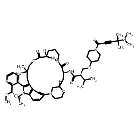 CCn1c(-c2cccnc2[C@H](C)OC)c2c3cc(ccc31)N1CCO[C@@H](C[C@H](NC(=O)[C@@H](COC3CCN(C(=O)C#CC(C)(C)N(C)C)CC3)C(C)C)C(=O)N3CCC[C@H](N3)C(=O)OCC(C)(C)C2)C1